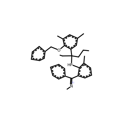 CCCC(CC)(Pc1c(C)cccc1/C(=N/C)c1ccccc1)c1cc(C)cc(C)c1OCc1ccccc1